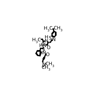 CCC(=O)N[C@@H](Cc1nc2ccc(C(C)C)cc2s1)C(=O)N[C@H](CNC(=O)C#CCN(C)C)Cc1ccccc1